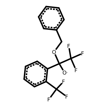 [O]C(OCc1ccccc1)(c1ccccc1C(F)(F)F)C(F)(F)F